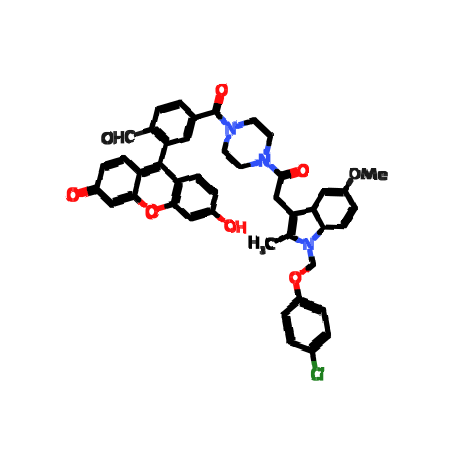 COC1=CC2C(CC(=O)N3CCN(C(=O)c4ccc(C=O)c(-c5c6ccc(=O)cc-6oc6cc(O)ccc56)c4)CC3)=C(C)N(COc3ccc(Cl)cc3)C2C=C1